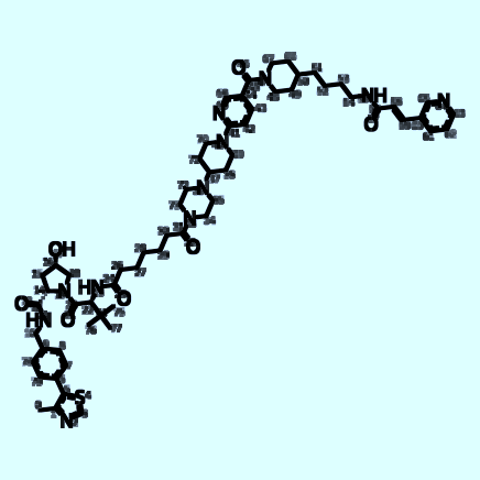 Cc1ncsc1-c1ccc(CNC(=O)[C@@H]2C[C@@H](O)CN2C(=O)[C@@H](NC(=O)CCCCCC(=O)N2CCN(C3CCN(c4ccc(C(=O)N5CCC(CCCCNC(=O)/C=C/c6cccnc6)CC5)cn4)CC3)CC2)C(C)(C)C)cc1